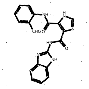 O=Cc1ccccc1NC(=O)c1[nH]cnc1C(=O)Nc1nc2ccccc2[nH]1